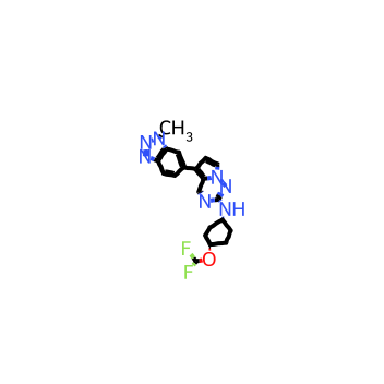 Cn1nnc2ccc(-c3ccn4nc(N[C@H]5CC[C@@H](OC(F)F)CC5)ncc34)cc21